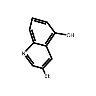 CCc1cnc2cccc(O)c2c1